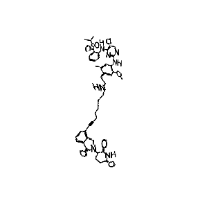 COc1cc(CCNCCCCCC#Cc2cccc3c2CN(C2CCC(=O)NC2=O)C3=O)c(C)cc1Nc1ncc(Cl)c(Nc2ccccc2S(=O)(=O)C(C)C)n1